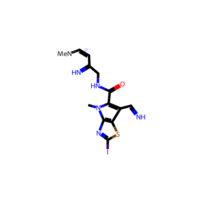 CN/C=C\C(=N)CNC(=O)c1c(C=N)c2sc(I)nc2n1C